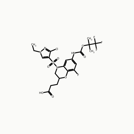 CCn1cc(S(=O)(=O)N2CC(CCC(=O)O)Oc3c(F)cc(NC(=O)OC(C)(C)C(F)(F)F)cc32)c(Cl)n1